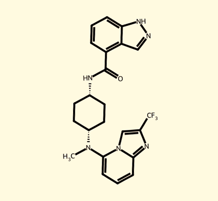 CN(c1cccc2nc(C(F)(F)F)cn12)[C@H]1CC[C@@H](NC(=O)c2cccc3[nH]ncc23)CC1